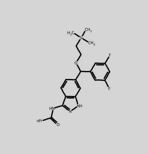 CCCC(=O)Nc1n[nH]c2cc(C(OCC[Si](C)(C)C)c3cc(F)cc(F)c3)ccc12